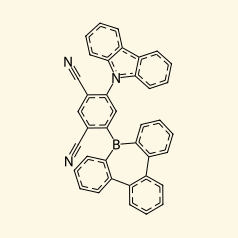 N#Cc1cc(C#N)c(-n2c3ccccc3c3ccccc32)cc1B1c2ccccc2-c2ccccc2-c2ccccc21